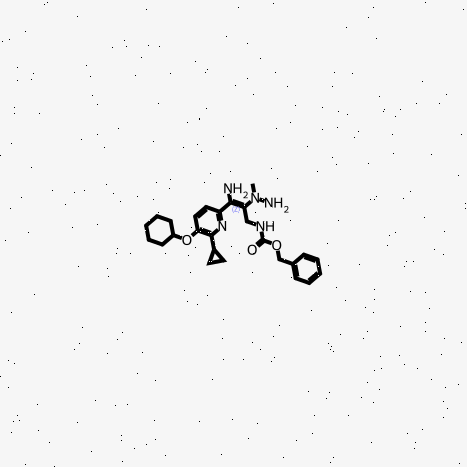 CN(N)/C(CNC(=O)OCc1ccccc1)=C(\N)c1ccc(OC2CCCCC2)c(C2CC2)n1